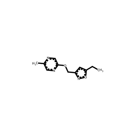 CCc1cc(COc2cnc(C)cn2)no1